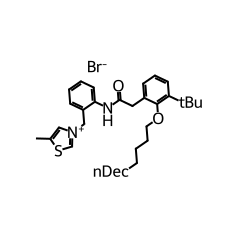 CCCCCCCCCCCCCCOc1c(CC(=O)Nc2ccccc2C[n+]2csc(C)c2)cccc1C(C)(C)C.[Br-]